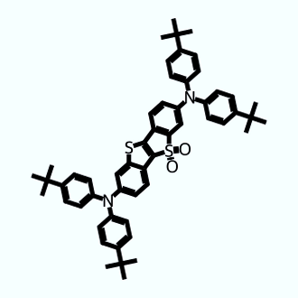 CC(C)(C)c1ccc(N(c2ccc(C(C)(C)C)cc2)c2ccc3c(c2)S(=O)(=O)c2c-3sc3cc(N(c4ccc(C(C)(C)C)cc4)c4ccc(C(C)(C)C)cc4)ccc23)cc1